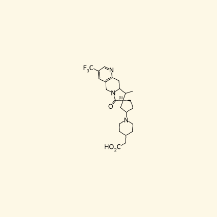 CC1C2Cc3ncc(C(F)(F)F)cc3CN2C(=O)[C@]12CCC(N1CCC(CC(=O)O)CC1)C2